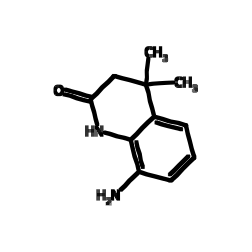 CC1(C)CC(=O)Nc2c(N)cccc21